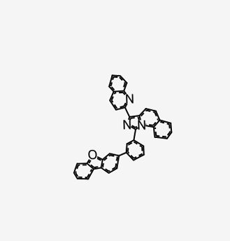 c1cc(-c2ccc3c(c2)oc2ccccc23)cc(-c2nc(-c3ccc4ccccc4n3)c3ccc4ccccc4n23)c1